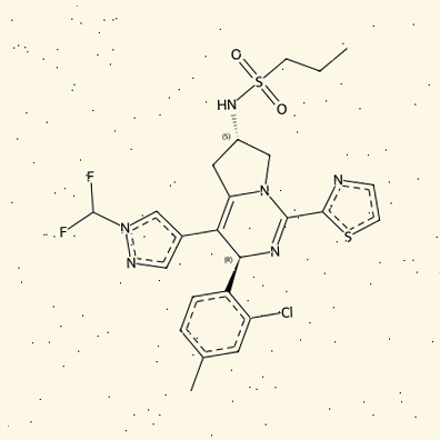 CCCS(=O)(=O)N[C@H]1CC2=C(c3cnn(C(F)F)c3)[C@H](c3ccc(C)cc3Cl)N=C(c3nccs3)N2C1